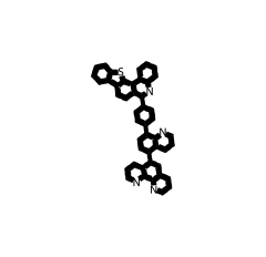 c1cnc2c(c1)cc(-c1ccc(-c3ccc(-c4nc5ccccc5c5c4ccc4c6ccccc6sc45)cc3)c3ncccc13)c1cccnc12